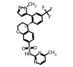 Cc1ccnc(NS(=O)(=O)c2ccc3c(c2)OCC[C@H]3c2ccc(C(F)(F)F)cc2-c2ccnn2C)n1